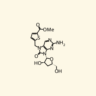 COC(=O)c1ccc(Cn2c(=O)n([C@@H]3O[C@H](CO)C[C@H]3O)c3nc(N)ncc32)s1